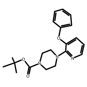 CC(C)(C)OC(=O)N1CCN(c2ncccc2Oc2ccccc2)CC1